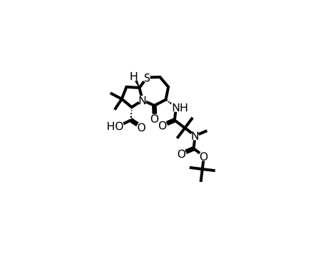 CN(C(=O)OC(C)(C)C)C(C)(C)C(=O)N[C@H]1CCS[C@H]2CC(C)(C)[C@@H](C(=O)O)N2C1=O